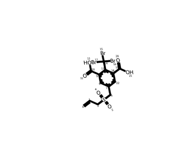 C=CCS(=O)(=O)Cc1cc(C(=O)O)c(C(Br)(Br)Br)c(C(=O)O)c1